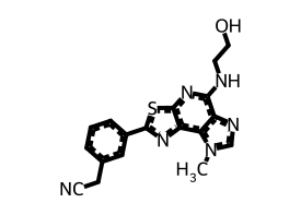 Cn1cnc2c(NCCO)nc3sc(-c4cccc(CC#N)c4)nc3c21